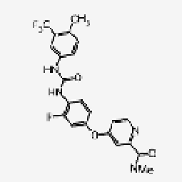 CNC(=O)c1cc(Oc2ccc(NC(=O)Nc3ccc(C)c(C(F)(F)F)c3)c(F)c2)ccn1